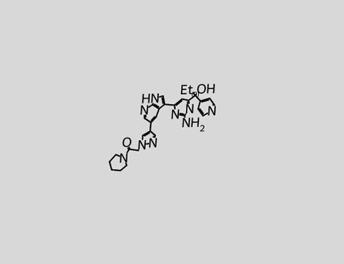 CC[C@@](O)(c1ccncc1)c1cc(-c2c[nH]c3ncc(-c4cnn(CC(=O)N5CCCCC5)c4)cc23)nc(N)n1